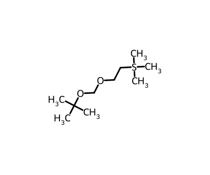 CC(C)(C)OCOCCS(C)(C)C